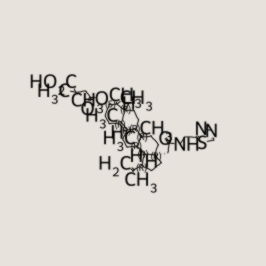 C=C(C)[C@@H]1CC[C@]2(CC(=O)NCc3nncs3)CC[C@]3(C)[C@H](CC[C@@H]4[C@@]5(C)CC[C@H](OC(=O)CC(C)(C)C(=O)O)C(C)(C)[C@@H]5CC[C@]43C)[C@@H]12